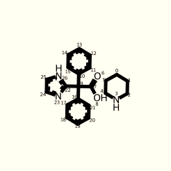 C1CCNCC1.O=C(O)C(c1ccccc1)(c1ccccc1)c1ncc[nH]1